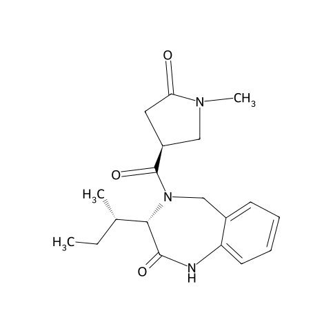 CC[C@H](C)[C@H]1C(=O)Nc2ccccc2CN1C(=O)[C@H]1CC(=O)N(C)C1